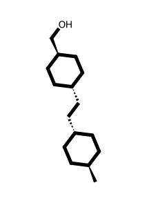 C[C@H]1CC[C@H](CC[C@H]2CC[C@H](CO)CC2)CC1